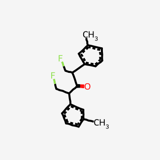 Cc1cccc(C(CF)C(=O)C(CF)c2cccc(C)c2)c1